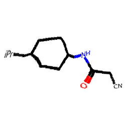 CC(C)C1CCC(NC(=O)CC#N)CC1